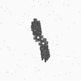 FC(F)(F)C(F)(F)C(F)(F)c1nc2ccc(-c3ccc4nc(C(F)(F)C(F)(F)C(F)(F)F)oc4c3)cc2o1